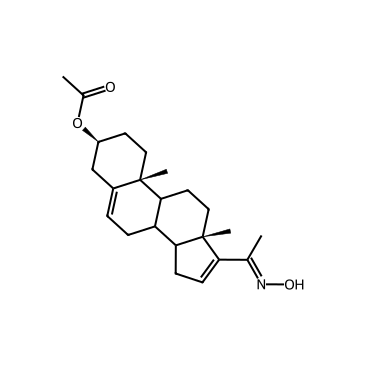 CC(=O)O[C@H]1CC[C@@]2(C)C(=CCC3C2CC[C@]2(C)C(/C(C)=N/O)=CCC32)C1